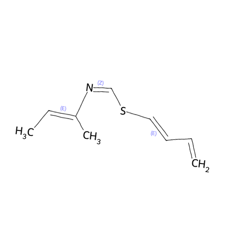 C=C/C=C/S/C=N\C(C)=C\C